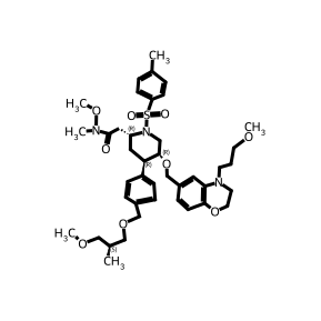 COCCCN1CCOc2ccc(CO[C@H]3CN(S(=O)(=O)c4ccc(C)cc4)[C@@H](CC(=O)N(C)OC)C[C@@H]3c3ccc(COC[C@@H](C)COC)cc3)cc21